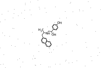 CC(Cc1ccc2ccccc2c1)NCC(O)c1ccc(O)cc1